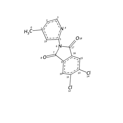 Cc1ccnc(N2C(=O)c3cc(Cl)c(Cl)cc3C2=O)c1